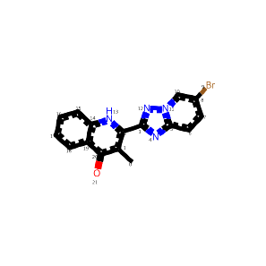 Cc1c(-c2nc3ccc(Br)cn3n2)[nH]c2ccccc2c1=O